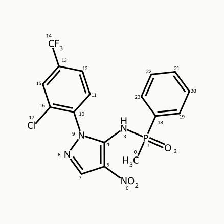 CP(=O)(Nc1c([N+](=O)[O-])cnn1-c1ccc(C(F)(F)F)cc1Cl)c1ccccc1